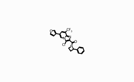 O=C(c1nc2c(C(F)(F)F)cc(-c3ccoc3)cn2c1Cl)N1CCC1c1ccccc1